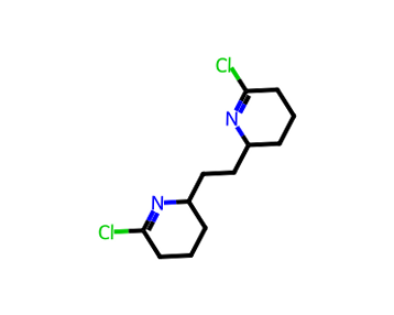 ClC1=NC(CCC2CCCC(Cl)=N2)CCC1